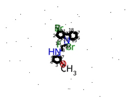 COc1cccc(NCC(F)C(Br)n2c3ccccc3c3cc(Br)ccc32)c1